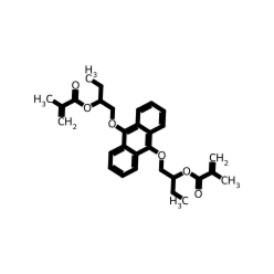 C=C(C)C(=O)OC(CC)COc1c2ccccc2c(OCC(CC)OC(=O)C(=C)C)c2ccccc12